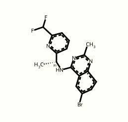 Cc1nc(N[C@H](C)c2cccc(C(F)F)n2)c2cc(Br)ccc2n1